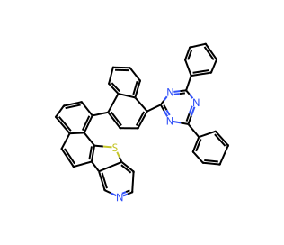 c1ccc(-c2nc(-c3ccccc3)nc(-c3ccc(-c4cccc5ccc6c7cnccc7sc6c45)c4ccccc34)n2)cc1